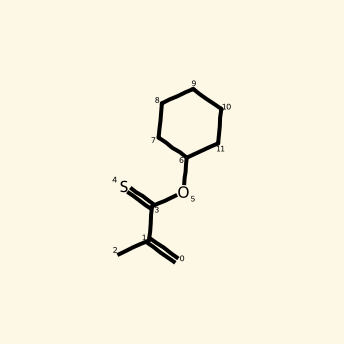 C=C(C)C(=S)OC1CCCCC1